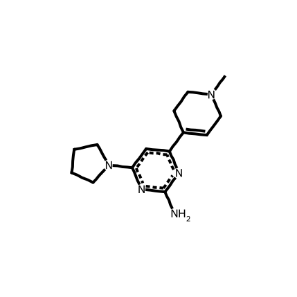 CN1CC=C(c2cc(N3CCCC3)nc(N)n2)CC1